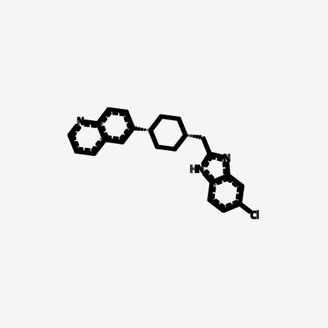 Clc1ccc2[nH]c(C[C@H]3CC[C@@H](c4ccc5ncccc5c4)CC3)nc2c1